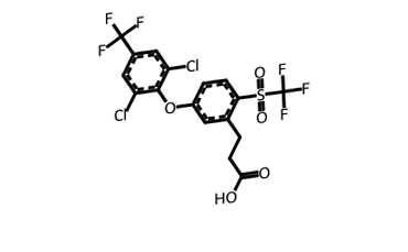 O=C(O)CCc1cc(Oc2c(Cl)cc(C(F)(F)F)cc2Cl)ccc1S(=O)(=O)C(F)(F)F